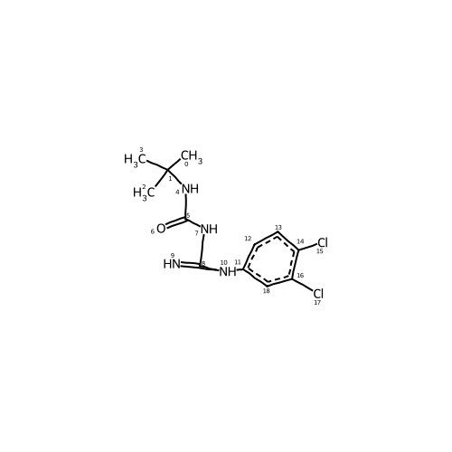 CC(C)(C)NC(=O)NC(=N)Nc1ccc(Cl)c(Cl)c1